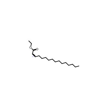 CCCCCCCCCCCCC/C=C\C(=O)OCC